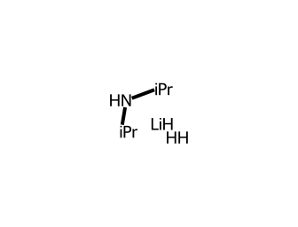 CC(C)NC(C)C.[HH].[LiH]